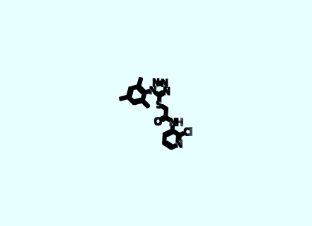 Cc1cc(C)c(-n2nnnc2SCC(=O)Nc2cccnc2Cl)c(C)c1